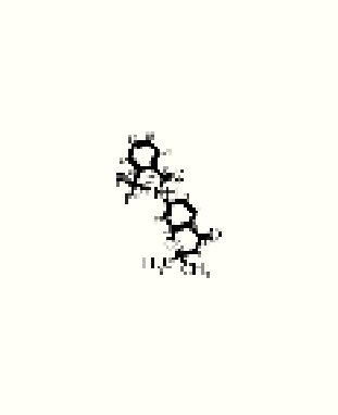 CC1(C)CC(=O)c2ccc(NC(=O)c3ccccc3C(F)(F)F)cc2O1